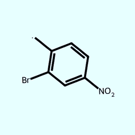 [CH2]c1ccc([N+](=O)[O-])cc1Br